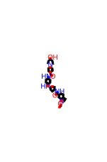 CCOn1ccc2ccc(C(=O)Nc3ccc(Nc4ccc(NC(=O)c5ccc(N6CCC(O)CC6)cc5)cc4)cc3)cc21